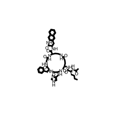 CCCC[C@H](NC(C)=O)C(=O)NC1CCC(=O)NCCC(C(=O)NC(Cc2ccc3ccccc3c2)C(N)=O)NC(=O)CNC(=O)C(Cc2ccccc2)NC(=O)[C@H](Cc2c[nH]cn2)NC1=O